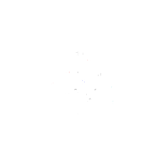 CC(C)(C)OC(=O)N1[C@@H](CO)[C@H]2C[C@@H]1C(F)(F)C2